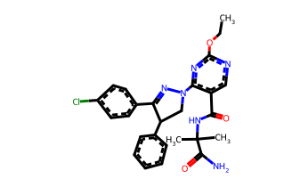 CCOc1ncc(C(=O)NC(C)(C)C(N)=O)c(N2CC(c3ccccc3)C(c3ccc(Cl)cc3)=N2)n1